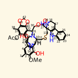 COc1c(C)cc2c(c1O)C1[C@@H]3CSC[C@]4(NCCc5c4[nH]c4ccccc54)C(=O)OCC(c4c(C)c(OC(C)=O)c(C)c5c4OCO5)N3C(O)(C2)CN1C